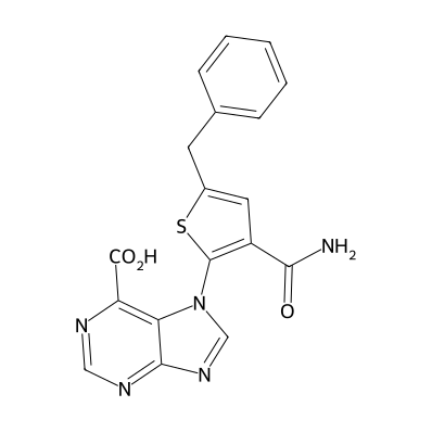 NC(=O)c1cc(Cc2ccccc2)sc1-n1cnc2ncnc(C(=O)O)c21